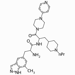 CCCN1CCC(CC(NC(=O)C(N)Cc2cc(C)c3[nH]ncc3c2)C(=O)N2CCN(c3ccncc3)CC2)CC1